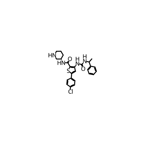 CC(NC(=O)Nc1cc(-c2ccc(Cl)cc2)sc1C(=O)N[C@H]1CCCNC1)c1ccccc1